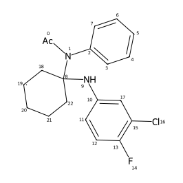 CC(=O)N(c1ccccc1)C1(Nc2ccc(F)c(Cl)c2)C[CH]CCC1